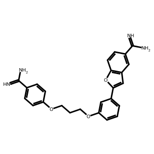 N=C(N)c1ccc(OCCCOc2cccc(-c3cc4cc(C(=N)N)ccc4o3)c2)cc1